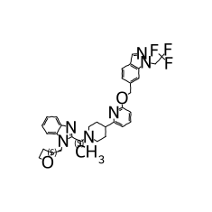 C[C@@H](c1nc2ccccc2n1C[C@@H]1CCO1)N1CCC(c2cccc(OCc3ccc4cnn(CC(F)(F)F)c4c3)n2)CC1